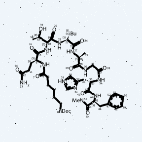 CCCCCCCCCCCCCCCC(=O)N[C@@H](CCC(N)=O)C(=O)N[C@H](C(=O)N[C@H](C(=O)N[C@@H](C)C(=O)NCC(=O)N[C@@H](Cc1c[nH]cn1)C(=O)N[C@@H](Cc1ccccc1)C(=O)NC)[C@@H](C)CC)[C@@H](C)O